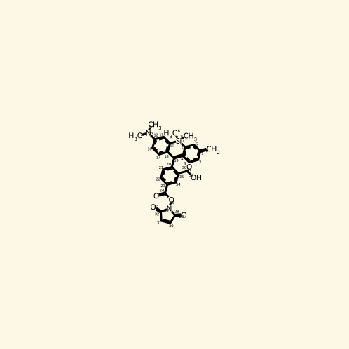 C=c1ccc2c(c1)[Si](C)(C)c1cc(N(C)C)ccc1C=2c1ccc(C(=O)ON2C(=O)C=CC2=O)cc1C(=O)O